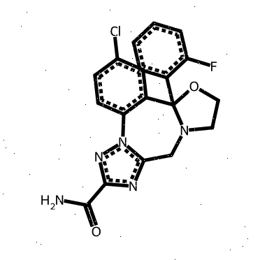 NC(=O)c1nc2n(n1)-c1ccc(Cl)cc1C1(c3ccccc3F)OCCN1C2